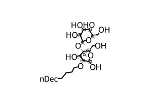 CCCCCCCCCCCCCCO[C@@H]1[C@@H](O)[C@H](O[C@H]2O[C@H](CO)[C@@H](O)[C@H](O)[C@H]2O)[C@@H](CO)O[C@H]1O